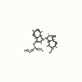 CC(Cn1cc(-c2c[nH]c3ncc(F)cc23)c2cncnc21)C(=O)O